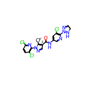 O=C(Nc1cnc(N2N=CCN2)c(Cl)c1)c1cnn(-c2nc(Cl)ccc2Cl)c1C(F)(F)F